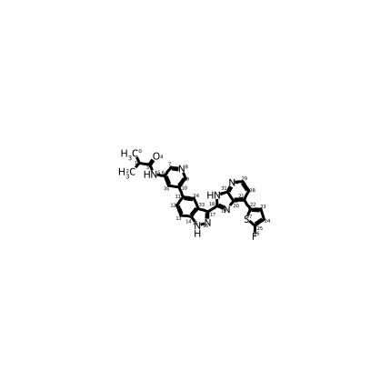 CC(C)C(=O)Nc1cncc(-c2ccc3[nH]nc(-c4nc5c(-c6ccc(F)s6)ccnc5[nH]4)c3c2)c1